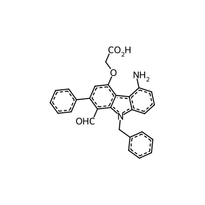 Nc1cccc2c1c1c(OCC(=O)O)cc(-c3ccccc3)c(C=O)c1n2Cc1ccccc1